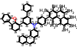 Bc1c(B)c(B)c2c(c1B)c(B)c(B)c1c(B)c(B)c(-c3ccc(N(c4cc(-c5ccccc5)cc(-c5cccc6c5oc5ccccc56)c4)c4ccc5ccc6ccccc6c5c4)cc3)c(B)c12